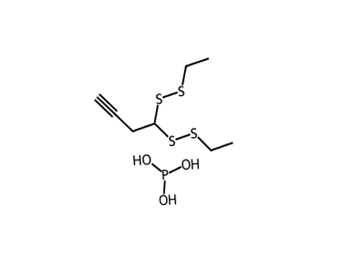 C#CCC(SSCC)SSCC.OP(O)O